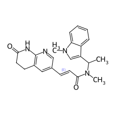 CC(c1cn(C)c2ccccc12)N(C)C(=O)/C=C/c1cnc2c(c1)CCC(=O)N2